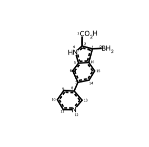 Bc1c(C(=O)O)[nH]c2cc(-c3cccnc3)ccc12